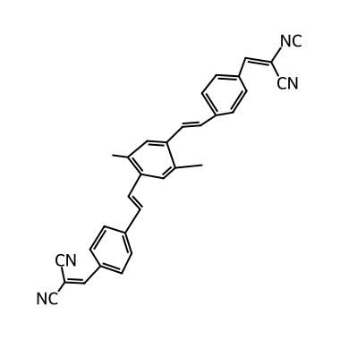 [C-]#[N+]/C(C#N)=C/c1ccc(/C=C/c2cc(C)c(/C=C/c3ccc(C=C(C#N)C#N)cc3)cc2C)cc1